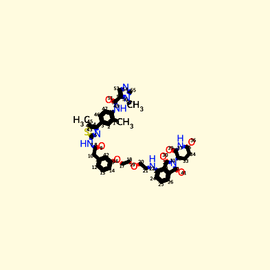 Cc1cc(-c2nc(NC(=O)Cc3cccc(OCCOCCNc4cccc5c4C(=O)N(C4CCC(=O)NC4=O)C5=O)c3)sc2C)ccc1NC(=O)c1cncn1C